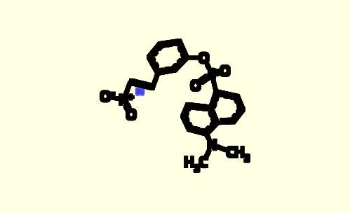 CN(C)c1cccc2c(S(=O)(=O)Oc3cccc(/C=C/[N+](=O)[O-])c3)cccc12